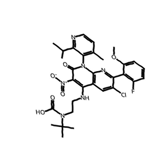 COc1cccc(F)c1-c1nc2c(cc1Cl)c(NCCN(C(=O)O)C(C)(C)C)c([N+](=O)[O-])c(=O)n2-c1c(C)ccnc1C(C)C